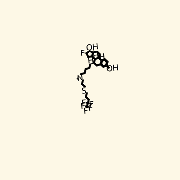 CN(CCCCC[C@@H]1Cc2cc(O)ccc2[C@H]2CC[C@]3(C)[C@H](O)[C@H](F)C[C@H]3[C@H]12)CCCSCCCC(F)(F)C(F)(F)F